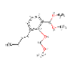 CCCCc1cccc(C(OC)OC)c1OCOC